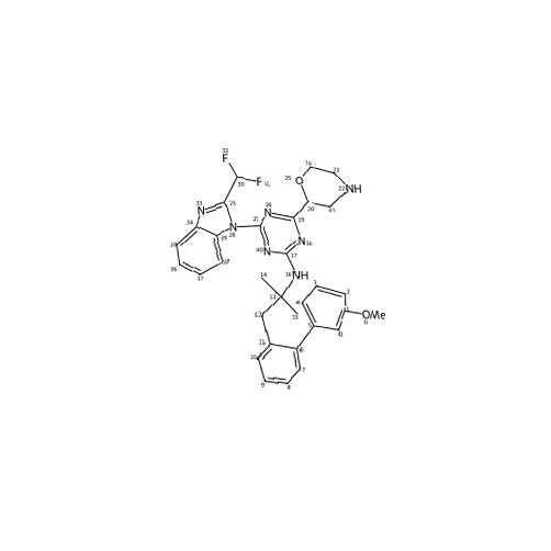 COc1cccc(-c2ccccc2CC(C)(C)Nc2nc(C3CNCCO3)nc(-n3c(C(F)F)nc4ccccc43)n2)c1